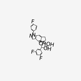 C[C@]12Cc3cnn(-c4ccc(F)cc4)c3C=C1CC[C@@]2(CO)CC(O)c1cc(F)cc(F)c1